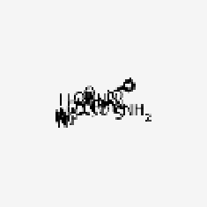 Nc1nc(C(=NOCc2ccccc2)C(=O)NC2C(=O)N3C(C(=O)O)=C(CSc4nnn[nH]4)CS[C@@H]23)cs1